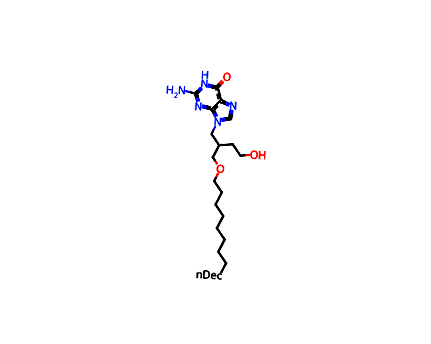 CCCCCCCCCCCCCCCCCCOCC(CCO)Cn1cnc2c(=O)[nH]c(N)nc21